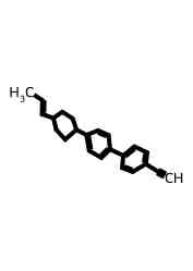 C#Cc1ccc(-c2ccc(C3CCC(/C=C/C)CC3)cc2)cc1